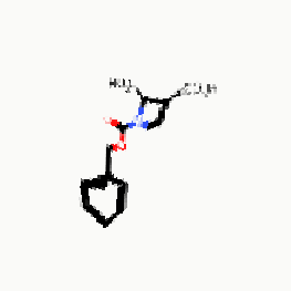 O=C(O)[C@H]1CN(C(=O)OCc2ccccc2)[C@H]1C(=O)O